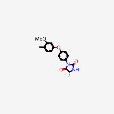 COc1cc(Oc2ccc(N3C(=O)N[C@H](C)C3=O)cc2)ccc1C